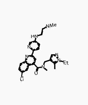 CCn1ncc(CN(C)C(=O)c2cc(-c3ccc(NCCNC)cn3)nc3ccc(Cl)cc23)c1C